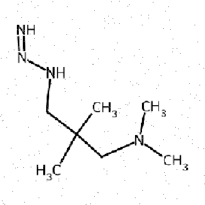 CN(C)CC(C)(C)CNN=N